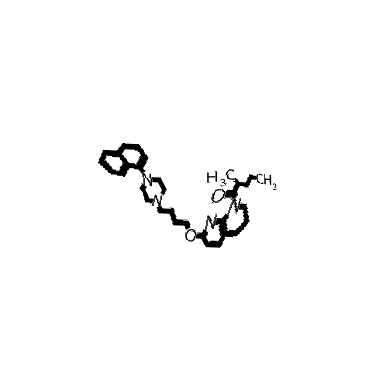 CCCC(C)C(=O)N1CCCc2ccc(OCCCCN3CCN(c4cccc5ccccc45)CC3)nc21